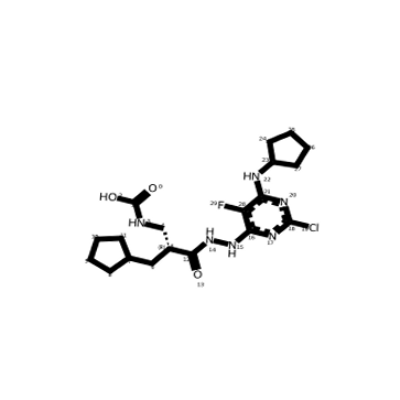 O=C(O)NC[C@@H](CC1CCCC1)C(=O)NNc1nc(Cl)nc(NC2CCCC2)c1F